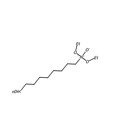 CCCCCCCCCCCCCCCCCC[N+]([O-])(OCC)OCC